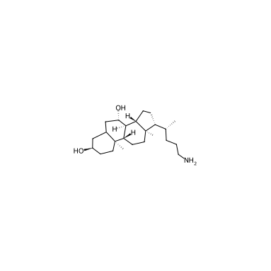 C[C@H](CCCN)[C@H]1CC[C@H]2[C@@H]3[C@@H](O)CC4C[C@H](O)CC[C@]4(C)[C@H]3CC[C@]12C